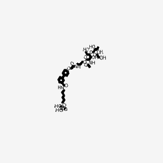 CC(=O)NC1C(OCCCNC(=O)COc2ccc(-c3cccc(C(=O)NCCCCCCOP(=O)(O)O)c3)cc2)OC(CO)C(OC(OCCO)/C(O)=C(/C)O)C1O